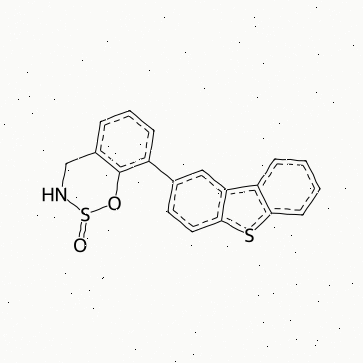 O=S1NCc2cccc(-c3ccc4sc5ccccc5c4c3)c2O1